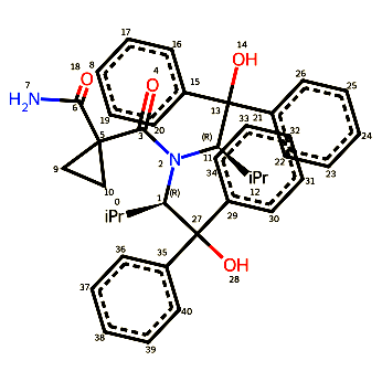 CC(C)[C@@H](N(C(=O)C1(C(N)=O)CC1)[C@H](C(C)C)C(O)(c1ccccc1)c1ccccc1)C(O)(c1ccccc1)c1ccccc1